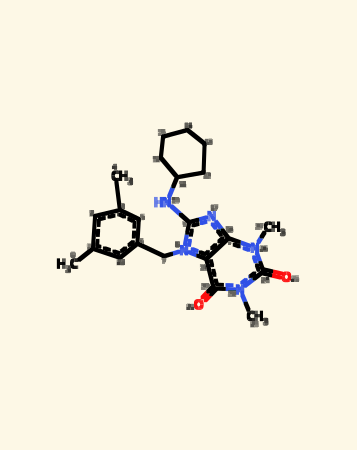 Cc1cc(C)cc(Cn2c(NC3CCCCC3)nc3c2c(=O)n(C)c(=O)n3C)c1